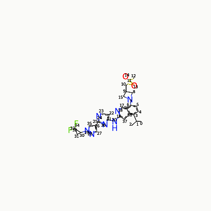 CC(C)c1ccc(N2CC(CS(C)(=O)=O)C2)c2cnc(Nc3ccnc(-c4cnn(C5CC5(F)F)c4)n3)cc12